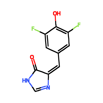 O=C1NC=NC1=Cc1cc(F)c(O)c(F)c1